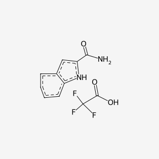 NC(=O)c1cc2ccccc2[nH]1.O=C(O)C(F)(F)F